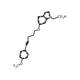 O=C(O)Cn1ccc2ccc(OCCCC#Cc3ccc(OC(F)(F)F)cc3)cc21